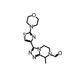 CC1c2nnc(-c3csc(N4CCOCC4)n3)n2CCN1C=O